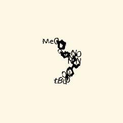 COc1cccc(Oc2ccc(-n3nc4c(C5CCN(C(=O)OC(C)(C)C)CC5)ccnc4c3C(N)=O)cc2)c1